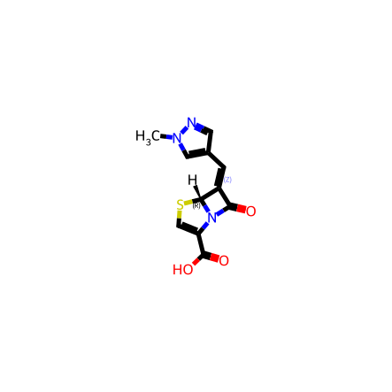 Cn1cc(/C=C2/C(=O)N3C(C(=O)O)=CS[C@H]23)cn1